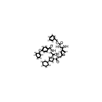 N=C(NC(=O)OCc1ccccc1)c1csc(CNC(=O)[C@@H]2C[C@H](C3CCCCC3)CN2C(=O)CNC(=O)c2ccc(Oc3ccccc3)cc2)c1